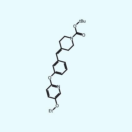 CCOc1ccc(Oc2cccc(C=C3CCN(C(=O)OC(C)(C)C)CC3)c2)nc1